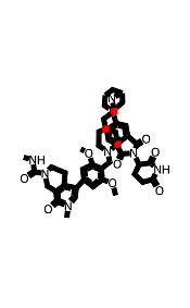 CNC(=O)N1CCc2c(-c3cc(OC)c(CN4CCC(CCN5C6CC5CN(c5ccc7c(c5)C(=O)N(C5CCC(=O)NC5=O)C7=O)C6)CC4)c(OC)c3)cn(C)c(=O)c2C1